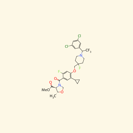 COC(=O)[C@@H]1[C@@H](C)OCN1C(=O)c1cc(C2CC2)c(OCC2(F)CCN(C(c3cc(Cl)cc(Cl)c3)C(F)(F)F)CC2)cc1F